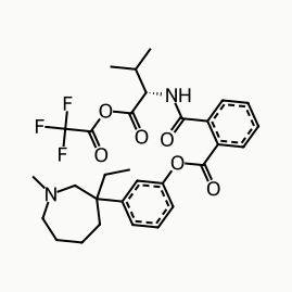 CCC1(c2cccc(OC(=O)c3ccccc3C(=O)N[C@H](C(=O)OC(=O)C(F)(F)F)C(C)C)c2)CCCCN(C)C1